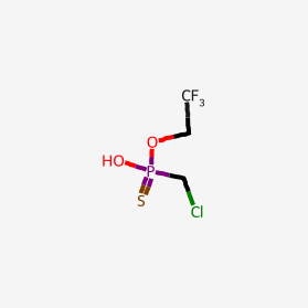 OP(=S)(CCl)OCC(F)(F)F